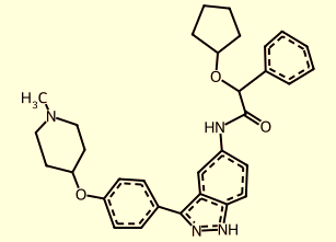 CN1CCC(Oc2ccc(-c3n[nH]c4ccc(NC(=O)C(OC5CCCC5)c5ccccc5)cc34)cc2)CC1